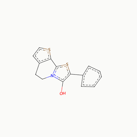 Oc1c(-c2ccccc2)sc2[n+]1CCc1ccsc1-2